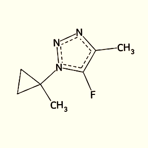 Cc1nnn(C2(C)CC2)c1F